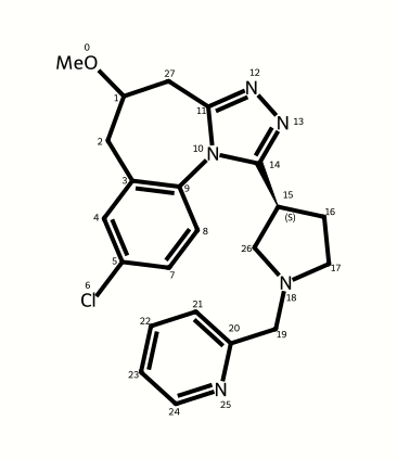 COC1Cc2cc(Cl)ccc2-n2c(nnc2[C@H]2CCN(Cc3ccccn3)C2)C1